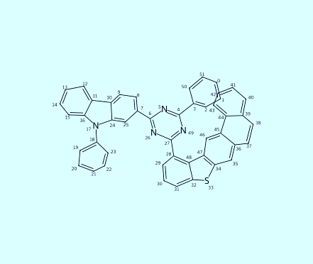 c1ccc(-c2nc(-c3ccc4c5ccccc5n(-c5ccccc5)c4c3)nc(-c3cccc4sc5cc6ccc7ccccc7c6cc5c34)n2)cc1